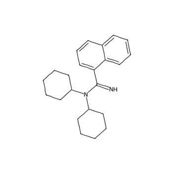 N=C(c1cccc2ccccc12)N(C1CCCCC1)C1CCCCC1